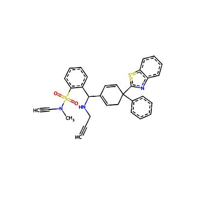 C#CCNC(C1=CCC(c2ccccc2)(c2nc3ccccc3s2)C=C1)c1ccccc1S(=O)(=O)N(C)C#C